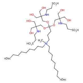 CCCCCCCCCCCCCCCCCC[N+](C)(CCCCCCCCCCCCCCCCCC)CCC[Si](OCC(CO)(CO)NCCS(=O)(=O)O)(OCC(CO)(CO)NCCS(=O)(=O)O)OCC(CO)(CO)NCCS(=O)(=O)O